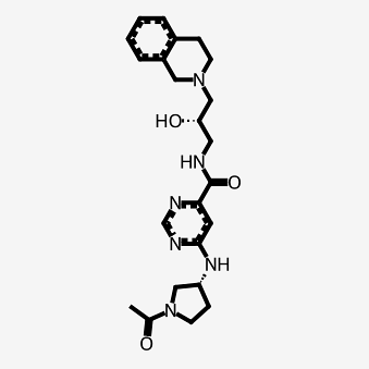 CC(=O)N1CC[C@@H](Nc2cc(C(=O)NC[C@H](O)CN3CCc4ccccc4C3)ncn2)C1